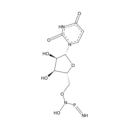 N=PN(O)OC[C@H]1O[C@@H](n2ccc(=O)[nH]c2=O)[C@H](O)[C@@H]1O